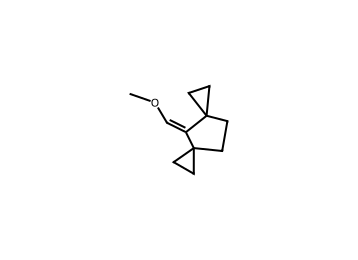 COC=C1C2(CC2)CCC12CC2